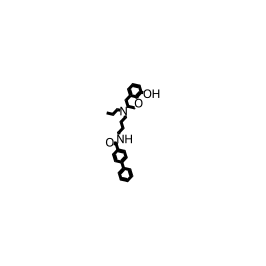 CCCN(CCCCNC(=O)c1ccc(-c2ccccc2)cc1)[C@H]1COc2c(O)cccc2C1